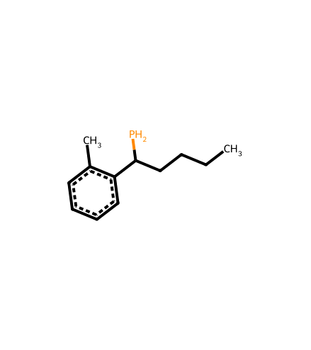 CCCCC(P)c1ccccc1C